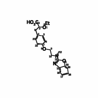 CCOC(Cc1ccc(OCCN(C)c2nc3ccccc3o2)cc1)C(=O)O